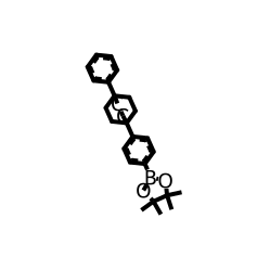 CC1(C)OB(c2ccc(C34CCC(c5ccccc5)(CC3)CC4)cc2)OC1(C)C